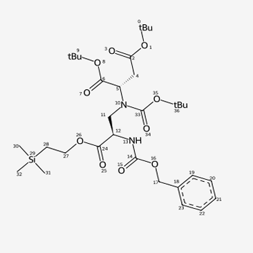 CC(C)(C)OC(=O)C[C@@H](C(=O)OC(C)(C)C)N(C[C@@H](NC(=O)OCc1ccccc1)C(=O)OCC[Si](C)(C)C)C(=O)OC(C)(C)C